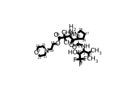 CC(C)C(NC(=O)[C@@]1(C(=O)[C@@H](N)C(C)(C)C(=O)OCCN2CCOCC2)CCCN1)C(O)C(F)(F)F